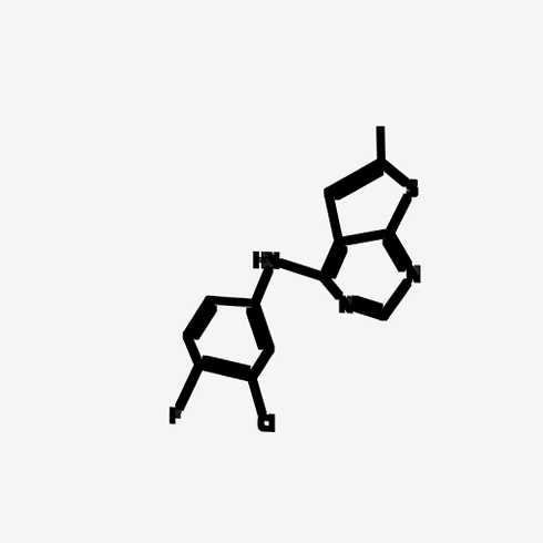 Cc1cc2c(Nc3ccc(F)c(Cl)c3)ncnc2s1